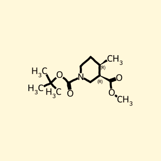 COC(=O)[C@H]1CN(C(=O)OC(C)(C)C)CC[C@H]1C